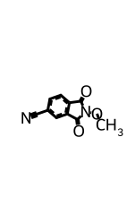 CON1C(=O)c2ccc(C#N)cc2C1=O